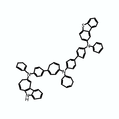 C1=CCC=C(N(C2=CC=C(c3ccc(N(C4=CCCC=C4)C4=Cc5c([nH]c6ccccc56)C=CC4)cc3)CC=C2)c2ccc(-c3ccc(N(c4ccccc4)c4ccc5sc6ccccc6c5c4)cc3)cc2)C=C1